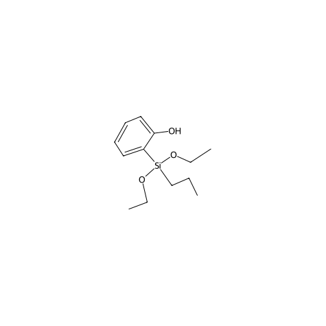 CCC[Si](OCC)(OCC)c1ccccc1O